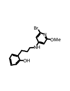 COc1cc(NCCCc2ccccc2O)cc(Br)n1